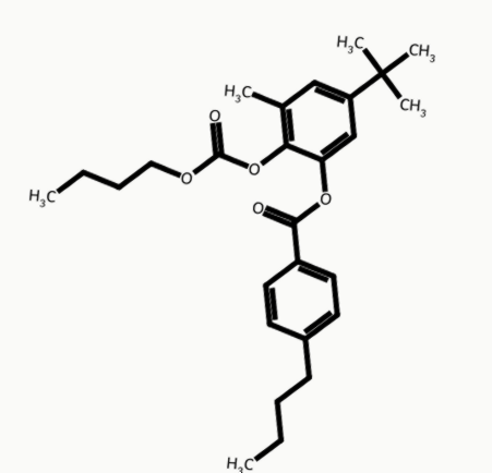 CCCCOC(=O)Oc1c(C)cc(C(C)(C)C)cc1OC(=O)c1ccc(CCCC)cc1